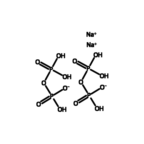 O=P([O-])(O)OP(=O)(O)O.O=P([O-])(O)OP(=O)(O)O.[Na+].[Na+]